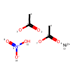 CC(=O)[O-].CC(=O)[O-].O=[N+]([O-])O.[Ni+2]